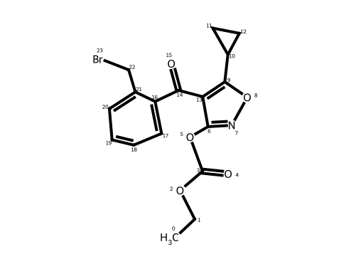 CCOC(=O)Oc1noc(C2CC2)c1C(=O)c1ccccc1CBr